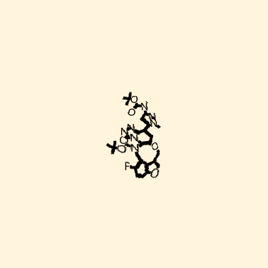 CN(C(=O)OC(C)(C)C)c1cc(-c2cc3c(n4cnnc24)N(C(=O)OC(C)(C)C)Cc2c(F)ccc4c2C(CO4)CO3)n(C)n1